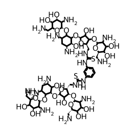 NCC1O[C@H](OC2C(N)C[C@@H](N)C(O)[C@H]2O[C@@H]2O[C@H](CNC(=S)Nc3cccc(NC(=S)NC[C@H]4O[C@@H](OC5C(O[C@@H]6OC(CN)C(O)[C@H](O)C6N)C(N)C[C@H](N)[C@@H]5O)C(O)C4O[C@@H]4O[C@H](CN)C(O)C(O)C4N)c3)[C@H](O[C@H]3O[C@@H](CN)C(O)C(O)C3N)C2O)C(N)[C@@H](O)C1O